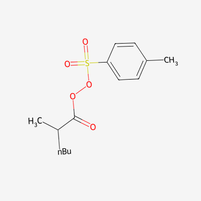 CCCCC(C)C(=O)OOS(=O)(=O)c1ccc(C)cc1